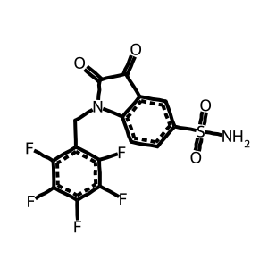 NS(=O)(=O)c1ccc2c(c1)C(=O)C(=O)N2Cc1c(F)c(F)c(F)c(F)c1F